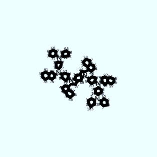 c1ccc(N(c2ccccc2)c2ccc(N(c3ccc(-n4c(-c5cccc6ccccc56)cc5cc6c(cc(-c7cccc8ccccc78)n6-c6ccc(N(c7ccc(N(c8ccccc8)c8ccccc8)cc7)c7ccc8ccccc8c7)cc6)cc54)cc3)c3ccc4ccccc4c3)cc2)cc1